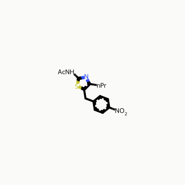 CCCc1nc(NC(C)=O)sc1Cc1ccc([N+](=O)[O-])cc1